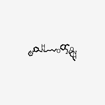 C=CCCC(C(=O)NC)N(C)Cc1cc(OCCCCCCNCc2cccc(N3CCCC3)c2)ccc1C=C